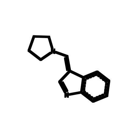 C1=Nc2ccccc2C1=CN1CCCC1